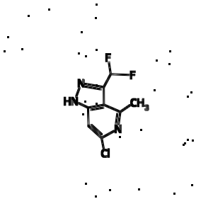 Cc1nc(Cl)cc2[nH]nc(C(F)F)c12